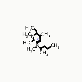 CCCC(C)N(C)/C=C/C(C)C(CC)N(C)CC